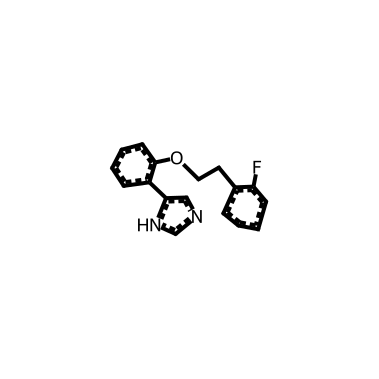 Fc1ccccc1CCOc1ccccc1-c1cnc[nH]1